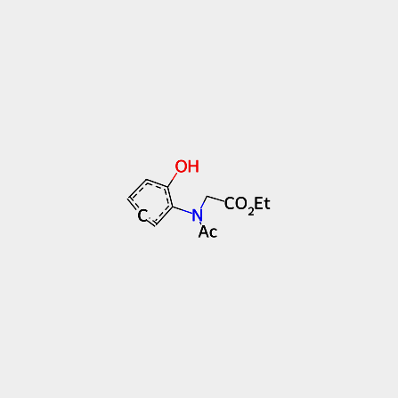 CCOC(=O)CN(C(C)=O)c1ccccc1O